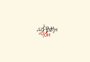 O=C(O)O.O=C([O-])O.[Li+]